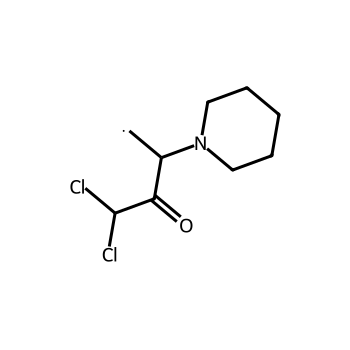 [CH2]C(C(=O)C(Cl)Cl)N1CCCCC1